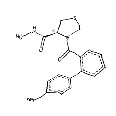 CCCc1ccc(-c2ccccc2C(=O)N2CSC[C@@H]2C(=O)NO)cc1